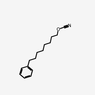 N#COCCCCCCCCc1ccccc1